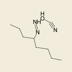 CCCCC(CCC)N=N.N#CO